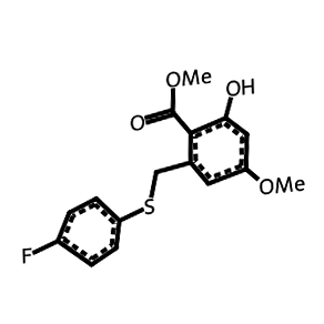 COC(=O)c1c(O)cc(OC)cc1CSc1ccc(F)cc1